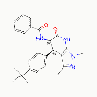 Cc1nn(C)c2c1[C@@H](c1ccc(C(C)(C)C)cc1)[C@@H](NC(=O)c1ccccc1)C(=O)N2